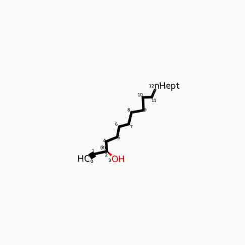 C#C[C@H](O)CCCCCCCCCCCCCCC